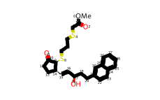 COC(=O)CSCCCS[C@H]1C(=O)CC[C@H]1C=C[C@H](O)CCc1ccc2ccccc2c1